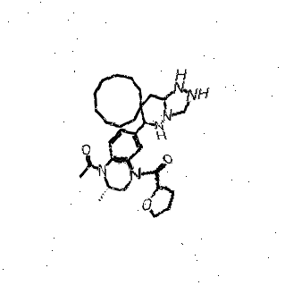 CC(=O)N1c2ccc(C3NN4CNNC4CC34CCCCCCCCC4)cc2N(C(=O)C2CCCO2)C[C@@H]1C